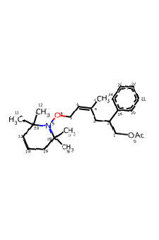 CC(=O)OCC(CC(C)=CCON1C(C)(C)CCCC1(C)C)c1ccccc1